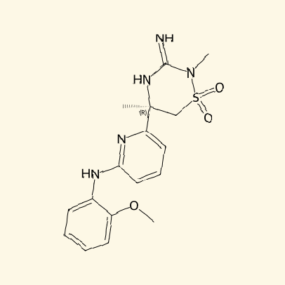 COc1ccccc1Nc1cccc([C@]2(C)CS(=O)(=O)N(C)C(=N)N2)n1